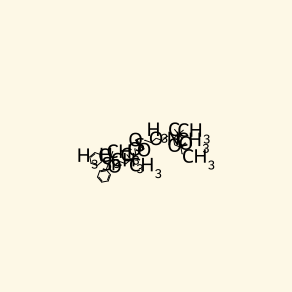 CCC(=O)ON(CCOCCS(=O)(=O)OCC(C)(C)CCO[Si](c1ccccc1)(c1ccccc1)C(C)(C)C)C(C)(C)C